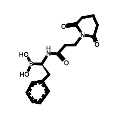 O=C(CCN1C(=O)CCCC1=O)N[C@@H](Cc1ccccc1)B(O)O